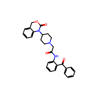 O=C(CN1CCC(N2C(=O)OCc3ccccc32)CC1)Nc1ccccc1C(=O)c1ccccc1